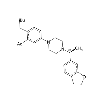 CCC(C)Cc1ccc(N2CCN([C@@H](C)c3ccc4c(c3)OCC4)CC2)cc1C(C)=O